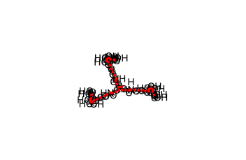 CC(COCCC(=O)NCCOCCOCCOC1OC(COP(=O)(O)O)C(O)C(O)C1O)(COCCC(=O)NCCOCCOCCOC1OC(COP(=O)(O)O)C(O)C(O)C1O)COCCC(=O)NCCOCCOCCOC1OC(COP(=O)(O)O)[C@H](O)C(O)C1O